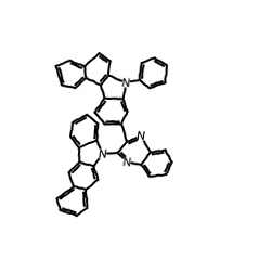 c1ccc(-n2c3cc(-c4nc5ccccc5nc4-n4c5ccccc5c5cc6ccccc6cc54)ccc3c3c4ccccc4ccc32)cc1